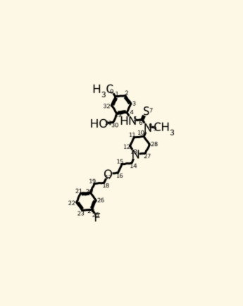 Cc1ccc(NC(=S)N(C)C2CCN(CCCOCCc3cccc(F)c3)CC2)c(CO)c1